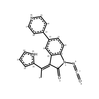 CC(=C1C(=O)N(N=C=O)c2ccc(-c3ccncc3)cc21)c1ccc[nH]1